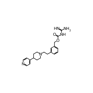 N=C(N)NC(=O)OCc1cccc(CCN2CCC(c3ccncc3)CC2)c1